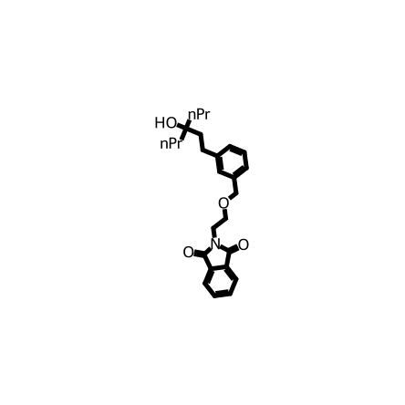 CCCC(O)(CCC)CCc1cccc(COCCN2C(=O)c3ccccc3C2=O)c1